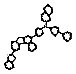 c1ccc(-c2ccc(N(c3ccc(-c4cc5c(c6ccccc46)-c4cc(C6=Nc7ccccc7C6)ccc4C5)cc3)c3ccc4ccccc4c3)cc2)cc1